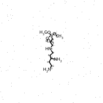 CO[Si](CCCNCCC(N)CCN)(OC)OC